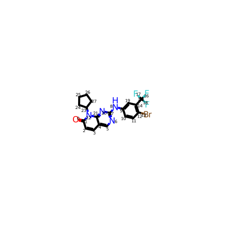 O=c1ccc2cnc(Nc3ccc(Br)c(C(F)(F)F)c3)nc2n1C1CCCC1